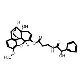 COc1ccc2c3c1O[C@@H]1C(OC(=O)CCNC(=O)[C@H](O)c4ccccc4)=CC[C@]4(O)[C@@H](CCC[C@@]314)C2